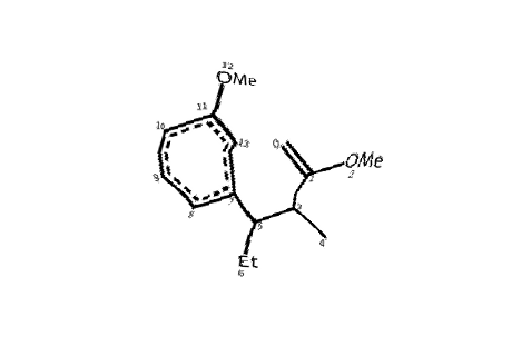 C=C(OC)C(C)C(CC)c1cccc(OC)c1